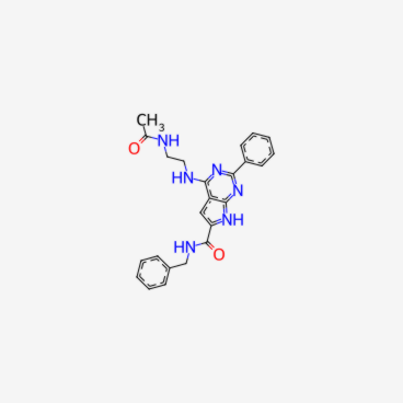 CC(=O)NCCNc1nc(-c2ccccc2)nc2[nH]c(C(=O)NCc3ccccc3)cc12